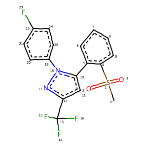 CS(=O)(=O)c1ccccc1-c1cc(C(F)(F)F)nn1-c1ccc(F)cc1